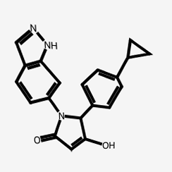 O=C1[C]=C(O)C(c2ccc(C3CC3)cc2)N1c1ccc2cn[nH]c2c1